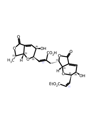 CCOC(=O)/C=C\[C@H]1O[C@H]2C(=C[C@H]1O)C(=O)O[C@H]2C/C(=C/[C@H]1O[C@H]2C(=C[C@H]1O)C(=O)O[C@H]2C)C(=O)O